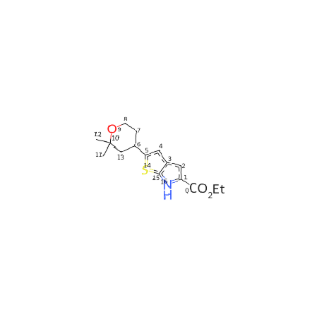 CCOC(=O)c1cc2cc(C3CCOC(C)(C)C3)sc2[nH]1